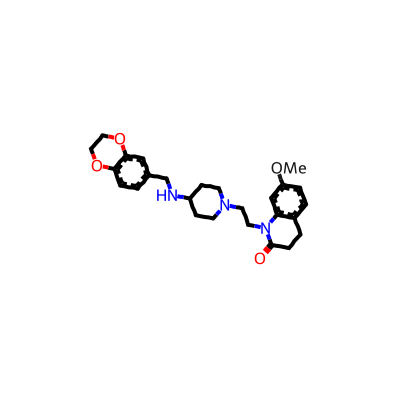 COc1ccc2c(c1)N(CCN1CCC(NCc3ccc4c(c3)OCCO4)CC1)C(=O)CC2